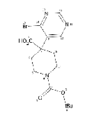 CC(C)(C)OC(=O)N1CCC(C(=O)O)(c2cncnc2Br)CC1